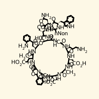 CCCCCCCCCC(=O)N[C@@H](Cc1c[nH]c2ccccc12)C(=O)N[C@H](CC(N)=O)C(=O)N[C@@H](CC(=O)O)C(=O)N[C@@H]1C(=O)NCC(=O)N[C@@H](CCCN)C(=O)N[C@@H](CC(=O)O)C(=O)N[C@H](C)C(=O)N[C@@H](CC(=O)O)C(=O)NCC(=O)N2C(c3ccccc3O)OC[C@H]2C(=O)N[C@@H]([C@H](C)CC(=O)O)C(=O)N[C@@H](CC(=O)c2ccccc2N)C(=O)O[C@@H]1C